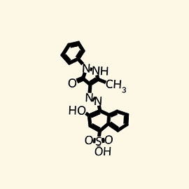 Cc1[nH]n(-c2ccccc2)c(=O)c1/N=N/c1c(O)cc(S(=O)(=O)O)c2ccccc12